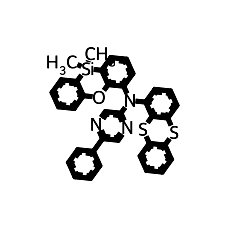 C[Si]1(C)c2ccccc2Oc2c(N(c3cnc(-c4ccccc4)cn3)c3cccc4c3Sc3ccccc3S4)cccc21